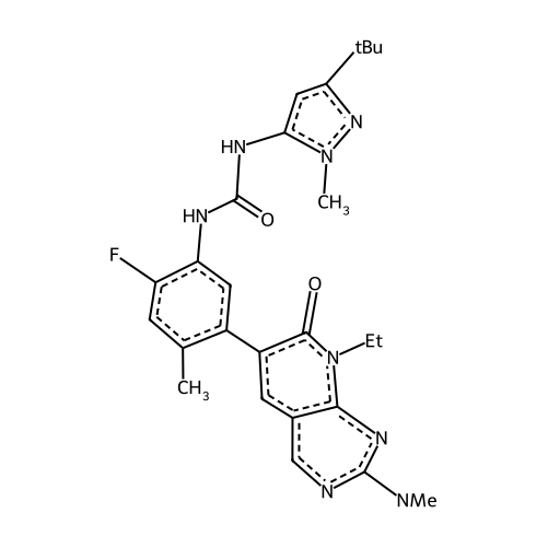 CCn1c(=O)c(-c2cc(NC(=O)Nc3cc(C(C)(C)C)nn3C)c(F)cc2C)cc2cnc(NC)nc21